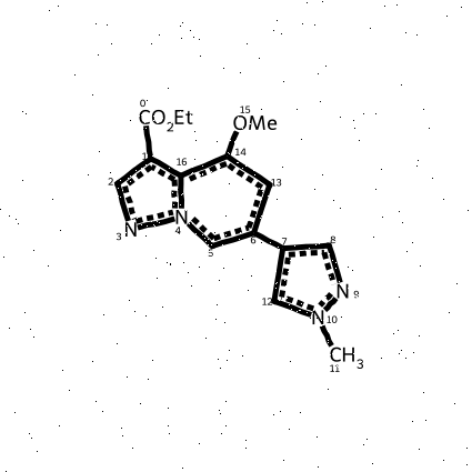 CCOC(=O)c1cnn2cc(-c3cnn(C)c3)cc(OC)c12